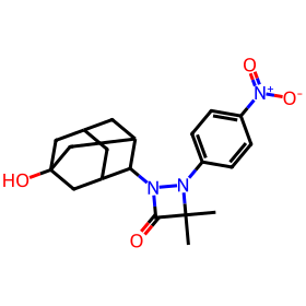 CC1(C)C(=O)N(C2C3CC4CC2CC(O)(C4)C3)N1c1ccc([N+](=O)[O-])cc1